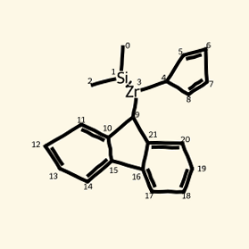 C[Si](C)=[Zr]([CH]1C=CC=C1)[CH]1c2ccccc2-c2ccccc21